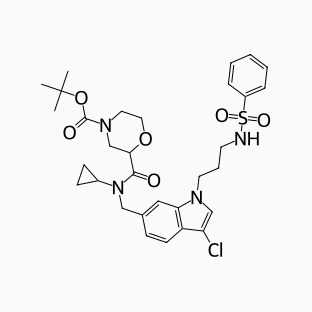 CC(C)(C)OC(=O)N1CCOC(C(=O)N(Cc2ccc3c(Cl)cn(CCCNS(=O)(=O)c4ccccc4)c3c2)C2CC2)C1